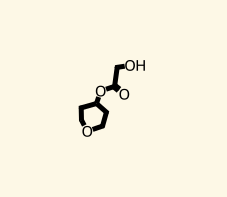 O=C(CO)OC1CCOCC1